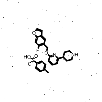 Cc1ccc(S(=O)(=O)O)cc1.Fc1cc2occc2cc1COc1cccc(C2CCNCC2)n1